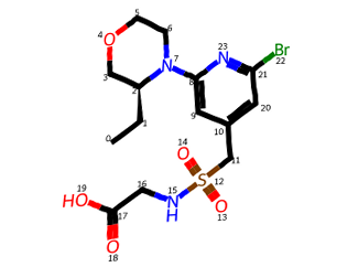 CC[C@H]1COCCN1c1cc(CS(=O)(=O)NCC(=O)O)cc(Br)n1